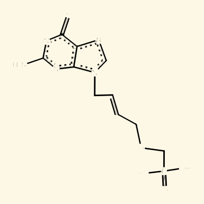 Nc1nc2c(ncn2CC=CCOCP(=O)(O)O)c(=O)[nH]1